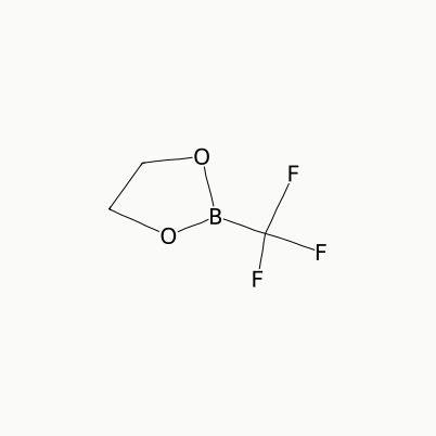 FC(F)(F)B1OCCO1